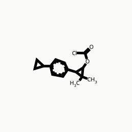 CC1(C)C(OC(=O)Cl)C1c1ccc(C2CC2)cc1